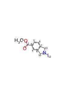 COC(=O)c1ccc2c(c1)CN(I)C2